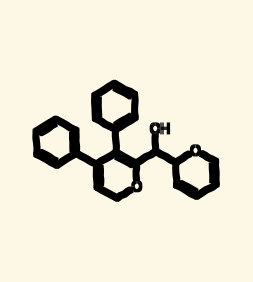 OC(C1=C(c2ccccc2)C(c2ccccc2)=CCO1)C1C=CC=CO1